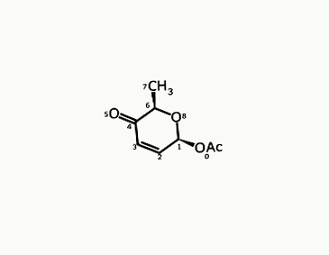 CC(=O)O[C@H]1C=CC(=O)[C@@H](C)O1